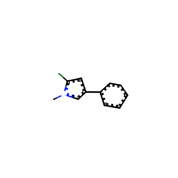 Cn1cc(-c2ccccc2)[c]c1Cl